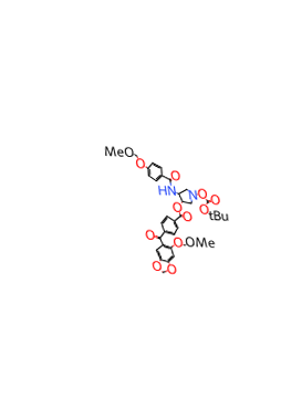 COCOc1ccc(C(=O)NC2CN(OC(=O)OC(C)(C)C)CC2OC(=O)c2ccc(C(=O)c3cc4c(cc3OCOC)OCO4)cc2)cc1